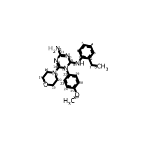 CCc1ccccc1NC1N=C(N)N=C(N2CCOCC2)N1c1ccc(OC)cc1